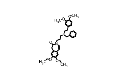 CCOc1cc2c(cc1OCC)CC(=O)N(CCCN(CCc1ccc(OC)c(OC)c1)Cc1ccccc1)C=C2